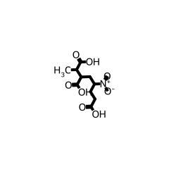 CC(C(=O)O)C(CC(CCC(=O)O)[N+](=O)[O-])C(=O)O